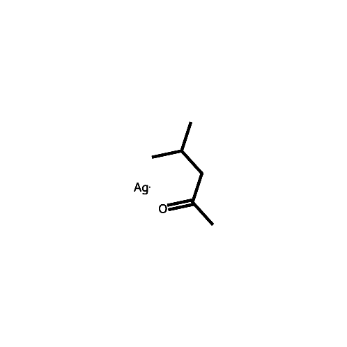 CC(=O)CC(C)C.[Ag]